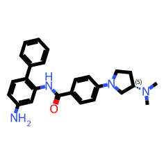 CN(C)[C@H]1CCN(c2ccc(C(=O)Nc3cc(N)ccc3-c3ccccc3)cc2)C1